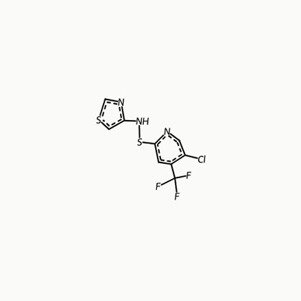 FC(F)(F)c1cc(SNc2cscn2)ncc1Cl